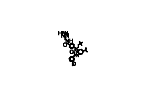 C=C(C)C1CCC2(CC1)N=C(c1cccc(OC)c1)C(=O)N2[C@H](CCC(C)(C)C)c1ccc(C(=O)NCc2nn[nH]n2)cc1